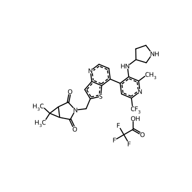 Cc1nc(C(F)(F)F)cc(-c2ccnc3cc(CN4C(=O)C5C(C4=O)C5(C)C)sc23)c1NC1CCNC1.O=C(O)C(F)(F)F